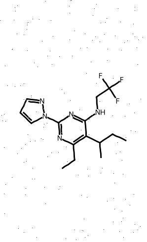 CCc1nc(-n2cccn2)nc(NCC(F)(F)F)c1C(C)CC